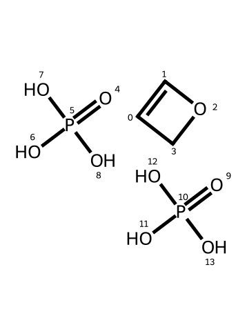 C1=COC1.O=P(O)(O)O.O=P(O)(O)O